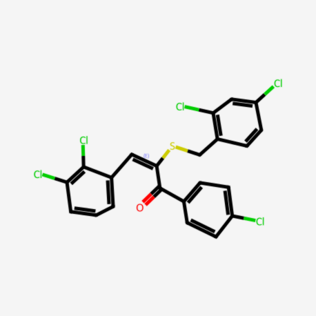 O=C(/C(=C\c1cccc(Cl)c1Cl)SCc1ccc(Cl)cc1Cl)c1ccc(Cl)cc1